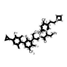 Cc1cc(C2CC2)c(F)c(C)c1-c1cc(C(F)(F)F)c(F)c(C(/C=N/C(=O)C(CC(C)C)n2cc(CCN3CCC3)c(C(F)(F)F)cc2=O)CC(=O)O)c1F